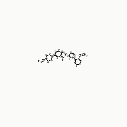 COc1ccccc1-n1cc(-c2nc3ccc(N4CCN(C)CC4)cc3[nH]2)cn1